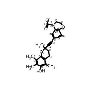 Cc1c(C)c2c(c(C)c1O)CCC(C)(C#Cc1ccc3c(c1)N(C(=O)C(F)(F)F)CCO3)O2